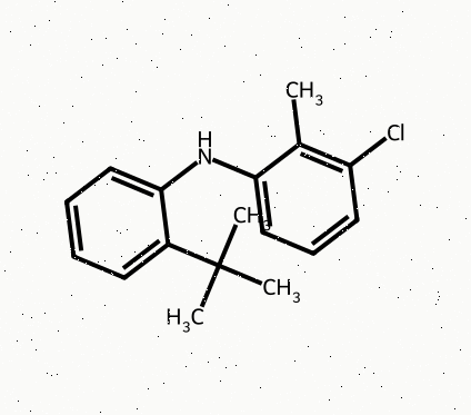 Cc1c(Cl)cccc1Nc1ccccc1C(C)(C)C